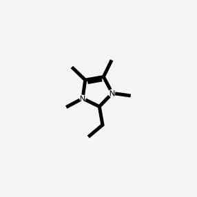 CCC1N(C)C(C)=C(C)N1C